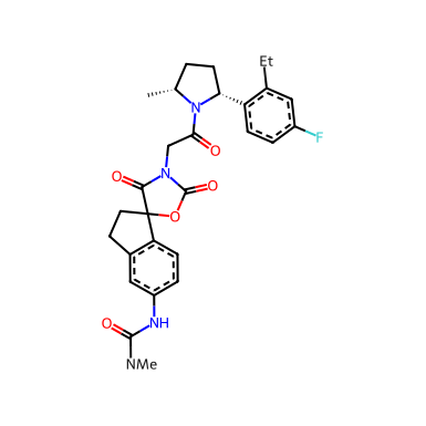 CCc1cc(F)ccc1[C@H]1CC[C@@H](C)N1C(=O)CN1C(=O)OC2(CCc3cc(NC(=O)NC)ccc32)C1=O